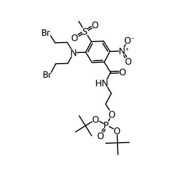 CC(C)(C)OP(=O)(OCCNC(=O)c1cc(N(CCBr)CCBr)c(S(C)(=O)=O)cc1[N+](=O)[O-])OC(C)(C)C